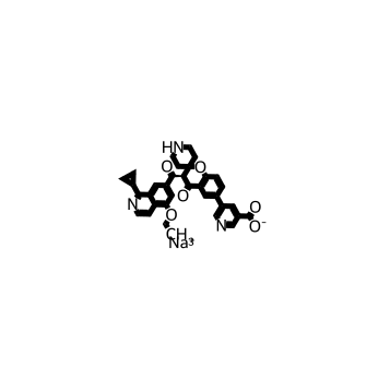 CCOc1cc(C(=O)[C@@H]2C(=O)c3cc(-c4cncc(C(=O)[O-])c4)ccc3OC23CCNCC3)cc2c(C3CC3)nccc12.[Na+]